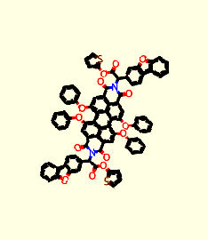 O=C(Oc1cccs1)C(c1ccc2c(c1)oc1ccccc12)N1C(=O)c2cc(Oc3ccccc3)c3c4c(Oc5ccccc5)cc5c6c(cc(Oc7ccccc7)c(c7c(Oc8ccccc8)cc(c2c37)C1=O)c64)C(=O)N(C(C(=O)Oc1cccs1)c1ccc2c(c1)oc1ccccc12)C5=O